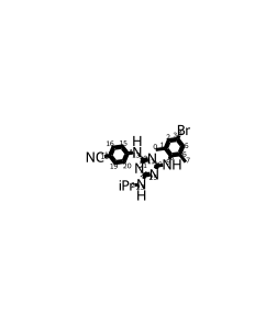 Cc1cc(Br)cc(C)c1Nc1nc(Nc2ccc(C#N)cc2)nc(NC(C)C)n1